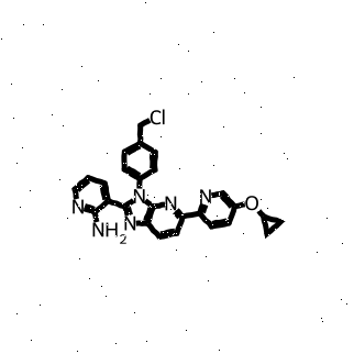 Nc1ncccc1-c1nc2ccc(-c3ccc(OC4CC4)cn3)nc2n1-c1ccc(CCl)cc1